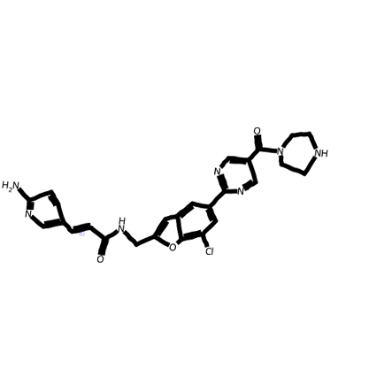 Nc1ccc(/C=C/C(=O)NCc2cc3cc(-c4ncc(C(=O)N5CCNCC5)cn4)cc(Cl)c3o2)cn1